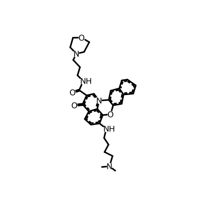 CN(C)CCCCNc1ccc2c(=O)c(C(=O)NCCCN3CCOCC3)cn3c2c1Oc1cc2ccccc2cc1-3